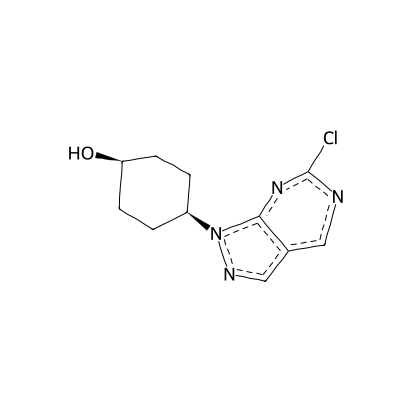 O[C@H]1CC[C@@H](n2ncc3cnc(Cl)nc32)CC1